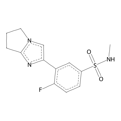 CNS(=O)(=O)c1ccc(F)c(-c2cn3c(n2)CCC3)c1